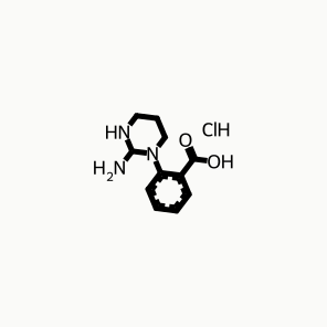 Cl.NC1NCCCN1c1ccccc1C(=O)O